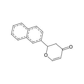 O=C1C=COC(c2ccc3ccccc3c2)C1